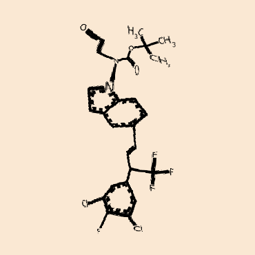 CC(C)(C)OC(=O)N(CC=O)n1ccc2cc(C=CC(c3cc(Cl)c(F)c(Cl)c3)C(F)(F)F)ccc21